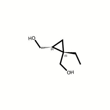 CC[C@]1(CO)C[C@H]1CO